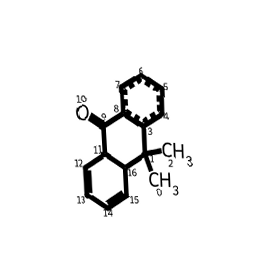 CC1(C)c2ccccc2C(=O)C2C=CC=CC21